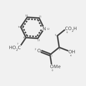 COC(=O)C(O)CC(=O)O.O=C(O)c1cccnc1